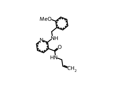 C=CCNC(=O)c1cccnc1NCc1ccccc1OC